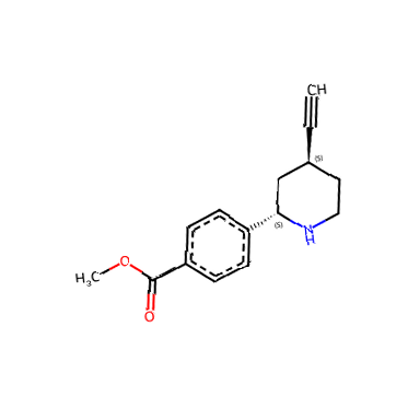 C#C[C@H]1CCN[C@H](c2ccc(C(=O)OC)cc2)C1